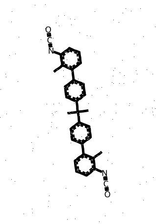 Cc1c(N=C=O)cccc1-c1ccc(C(C)(C)c2ccc(-c3cccc(N=C=O)c3C)cc2)cc1